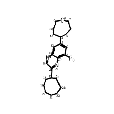 Fc1cc(C2CCCCCCC2)cc2ncc(C3CCCCCCC3)nc12